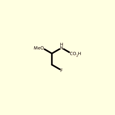 COC(CF)NC(=O)O